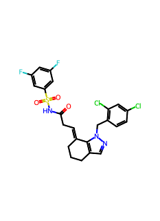 O=C(C/C=C1\CCCc2cnn(Cc3ccc(Cl)cc3Cl)c21)NS(=O)(=O)c1cc(F)cc(F)c1